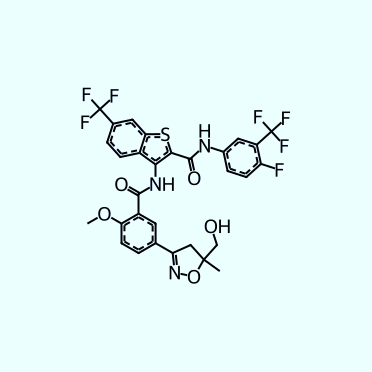 COc1ccc(C2=NOC(C)(CO)C2)cc1C(=O)Nc1c(C(=O)Nc2ccc(F)c(C(F)(F)F)c2)sc2cc(C(F)(F)F)ccc12